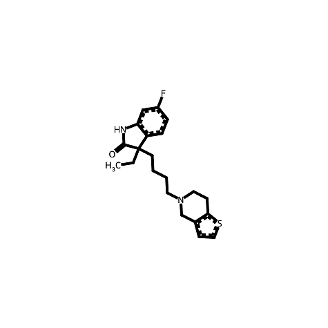 CCC1(CCCCN2CCc3sccc3C2)C(=O)Nc2cc(F)ccc21